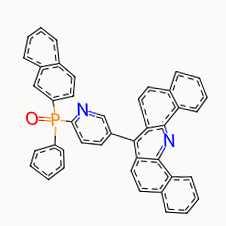 O=P(c1ccccc1)(c1ccc2ccccc2c1)c1ccc(-c2c3ccc4ccccc4c3nc3c2ccc2ccccc23)cn1